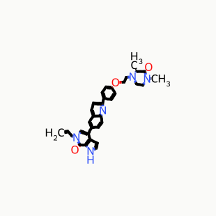 C=CCn1cc(-c2ccc3nc(-c4ccc(OCCN5CCN(C)C(=O)[C@H]5C)cc4)ccc3c2)c2cc[nH]c2c1=O